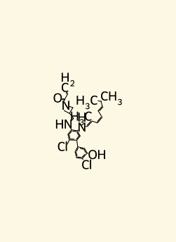 C=CC(=O)N1CC(CNc2cc(Cl)c(-c3ccc(Cl)c(O)c3)cc2N/C=C(C)/C=C\C=C\C(C)C)C1